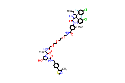 COc1cc(C(=O)NCCOCCOCCOCC(=O)N[C@H](C(=O)N2C[C@H](O)C[C@H]2C(=O)NCc2ccc(-c3scnc3C)cc2)C(C)(C)C)ccc1NC(=O)[C@@H]1N[C@@H](CC(C)(C)C)[C@H](c2ccc(Cl)cc2F)[C@H]1c1cccc(Cl)c1F